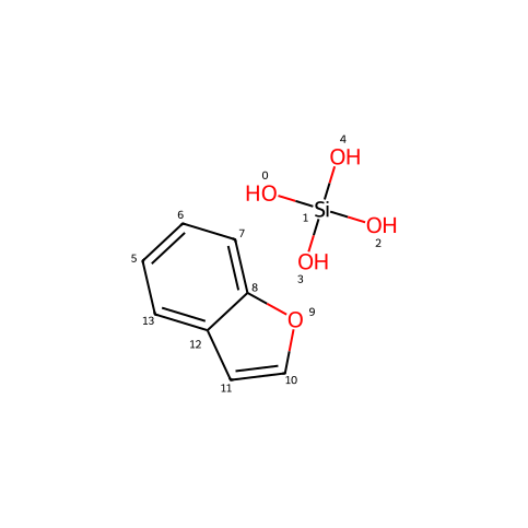 O[Si](O)(O)O.c1ccc2occc2c1